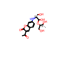 CC(=O)c1cc2ccc(N[C@H](CO)C(O)OC(CO)[C@@H](C)O)cc2oc1=O